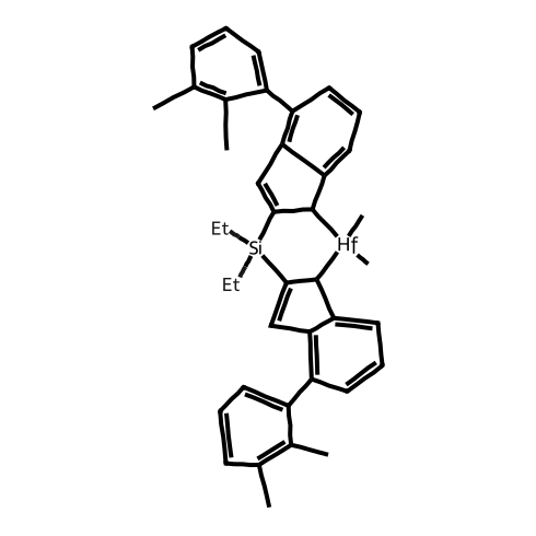 CC[Si]1(CC)C2=Cc3c(-c4cccc(C)c4C)cccc3[CH]2[Hf]([CH3])([CH3])[CH]2C1=Cc1c(-c3cccc(C)c3C)cccc12